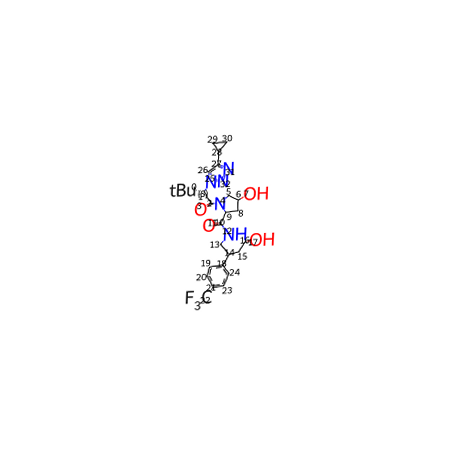 CC(C)(C)[C@@H](C(=O)N1CC(O)CC1C(=O)NCC(CCO)c1ccc(C(F)(F)F)cc1)n1cc(C2CC2)nn1